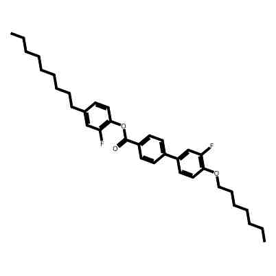 CCCCCCCCCc1ccc(OC(=O)c2ccc(-c3ccc(OCCCCCCC)c(F)c3)cc2)c(F)c1